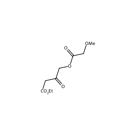 CCOC(=O)CC(=O)COC(=O)COC